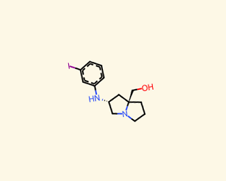 OC[C@@]12CCCN1C[C@H](Nc1cccc(I)c1)C2